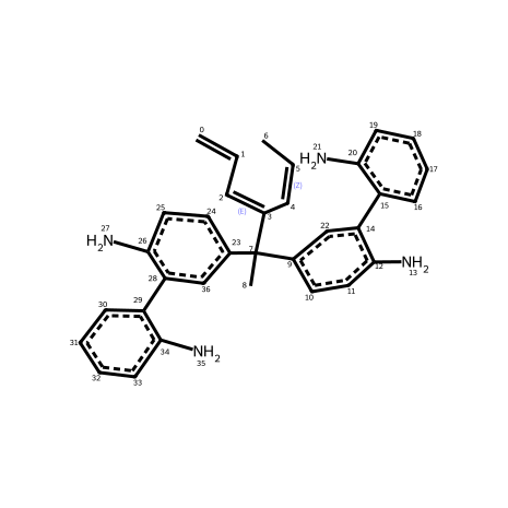 C=C/C=C(\C=C/C)C(C)(c1ccc(N)c(-c2ccccc2N)c1)c1ccc(N)c(-c2ccccc2N)c1